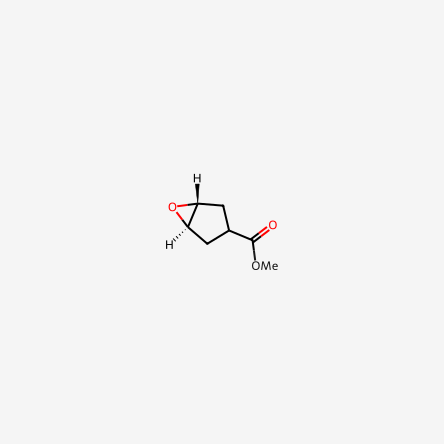 COC(=O)C1C[C@H]2O[C@@H]2C1